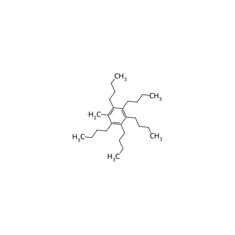 [CH2]c1c(CCCC)c(CCCC)c(CCCC)c(CCCC)c1CCCC